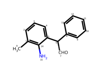 Cc1cccc(C(C=O)c2ccccc2)c1N